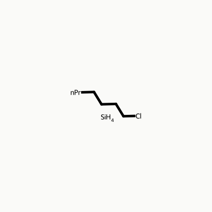 CCCCCCCCl.[SiH4]